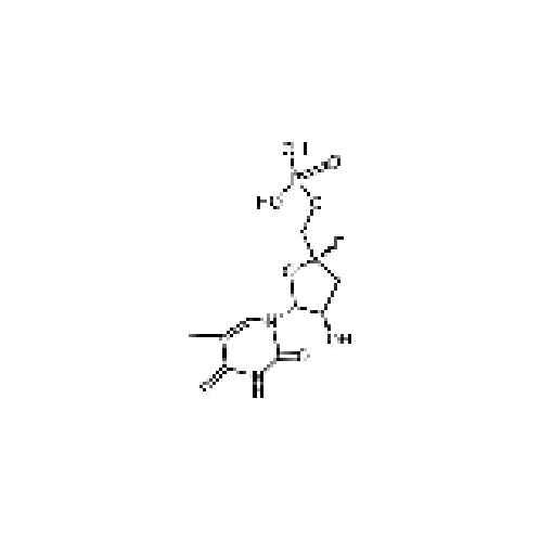 Cc1cn([C@@H]2O[C@](F)(COP(=O)(O)O)C[C@H]2O)c(=O)[nH]c1=S